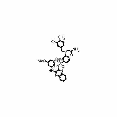 COc1cc(Nc2nc3ccccc3nc2NS(=O)(=O)c2cccc(N(CC(N)=O)Cc3ccc(C)c(Cl)c3)c2)cc(OC)c1